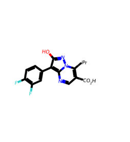 CC(C)c1c(C(=O)O)cnc2c(-c3ccc(F)c(F)c3)c(O)nn12